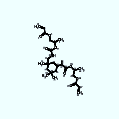 C=CC(=O)OCC(C)OC(=O)NCC1(C)CC(NC(=O)OC(C)COC(=O)C=C)CC(C)(C)C1